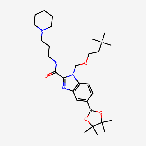 CC1(C)OB(c2ccc3c(c2)nc(C(=O)NCCCN2CCCCC2)n3COCC[Si](C)(C)C)OC1(C)C